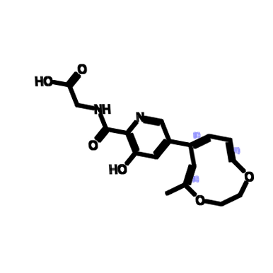 C\C1=C/C(c2cnc(C(=O)NCC(=O)O)c(O)c2)=C\C=C\OCCO1